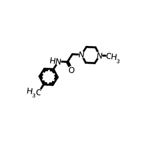 Cc1ccc(NC(=O)CN2CCN(C)CC2)cc1